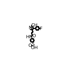 Cn1ncc(C=CC(=O)Nc2ccc(SC(=O)O)cc2)c1-c1ccc(F)cc1